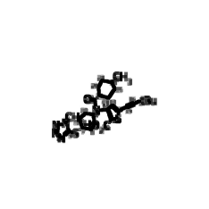 Cn1nnnc1S[C@H]1CC[C@H](N(c2cc(C#CC(C)(C)C)sc2C(=O)O)C(=O)[C@H]2CC[C@H](C)CC2)CC1